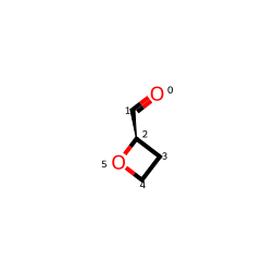 O=C[C@H]1CCO1